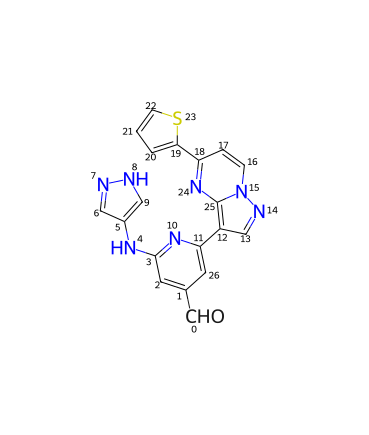 O=Cc1cc(Nc2cn[nH]c2)nc(-c2cnn3ccc(-c4cccs4)nc23)c1